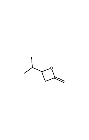 C=C1CC(C(C)C)O1